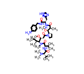 CC[C@H](C)[C@@H]([C@@H](CC(=O)N1CCC[C@H]1[C@H](OC)[C@@H](C)C(=O)N[C@@H](Cc1nc[nH]n1)C(=O)NCc1ccc(N)cc1)OC)N(C)C(=O)[C@@H](NC(=O)[C@H](C(C)C)N(C)C)C(C)C